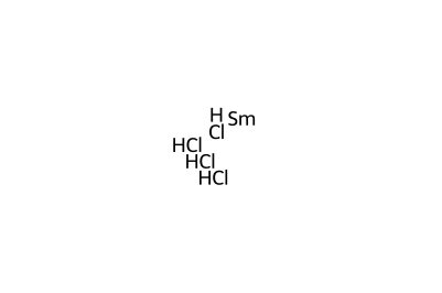 Cl.Cl.Cl.Cl.[Sm]